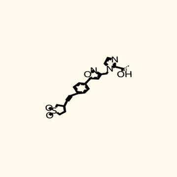 C[C@H](O)c1nccn1Cc1cc(-c2ccc(C#CC3CCS(=O)(=O)C3)cc2)on1